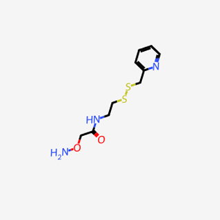 NOCC(=O)NCCSSCc1ccccn1